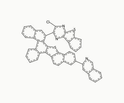 Clc1nc2sc3ccccc3c2nc1-c1cc2ccccc2c2c3ccccc3c3c4ccc5cc(-c6cc7ccccc7cn6)ccc5c4sc3c12